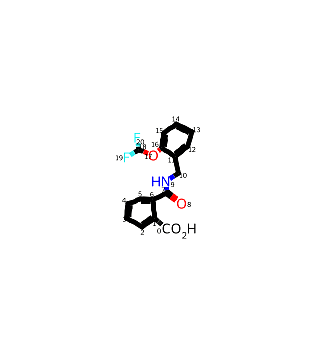 O=C(O)c1ccccc1C(=O)NCc1ccccc1OC(F)F